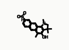 Cc1c(O)c2c(c3cc4cc([SH](=O)=O)ccc4cc13)N(C)CC2(C)C